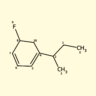 CCC(C)C1=CC=CC(F)C1